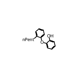 CCCCCc1ccccc1Oc1ccccc1O